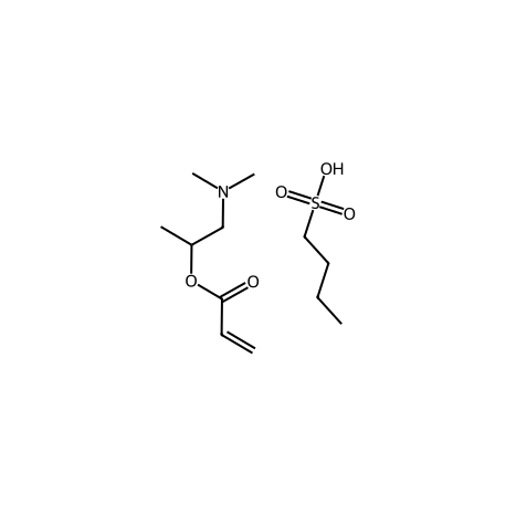 C=CC(=O)OC(C)CN(C)C.CCCCS(=O)(=O)O